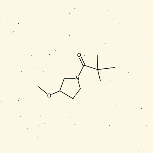 COC1CCN(C(=O)C(C)(C)C)C1